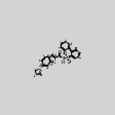 O=C(NS(=O)(=O)c1ccccc1-c1ccccc1)c1cc2ccc(N3CCC3)cc2o1